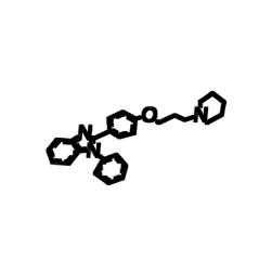 c1ccc(-n2c(-c3ccc(OCCCN4CCCCC4)cc3)nc3ccccc32)cc1